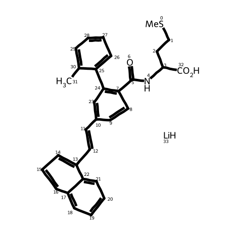 CSCCC(NC(=O)c1ccc(C=Cc2cccc3ccccc23)cc1-c1ccccc1C)C(=O)O.[LiH]